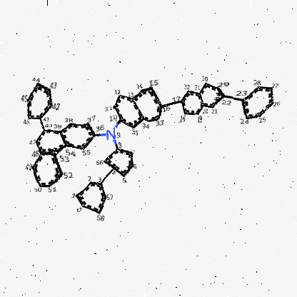 c1ccc(-c2cccc(N(c3ccc4ccc(-c5ccc6cc(-c7ccccc7)ccc6c5)cc4c3)c3ccc4c(-c5ccccc5)cc5ccccc5c4c3)c2)cc1